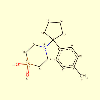 Cc1ccc(C2(N3CCS(=O)(=O)CC3)CCCC2)cc1